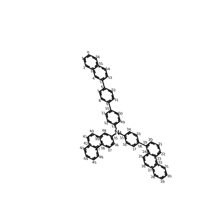 c1ccc2cc(-c3ccc(-c4ccc(N(c5ccc(-c6cccc7c6ccc6ccccc67)cc5)c5ccc6c(ccc7ccccc76)c5)cc4)cc3)ccc2c1